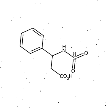 O=C(O)CC(N[SH](=O)=O)c1ccccc1